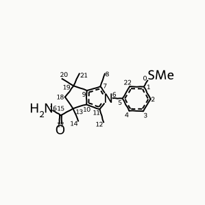 CSc1cccc(-n2c(C)c3c(c2C)C(C)(C(N)=O)CC3(C)C)c1